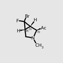 CC(=O)[C@@H]1[C@@H]2[C@H](CN1C)C2(F)Br